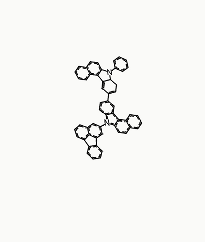 C1=C(c2ccc3c(c2)c2c4ccccc4ccc2n3-c2cc3c4c(cccc4c2)-c2ccccc2-3)C=C2c3c(ccc4ccccc34)N(c3ccccc3)C2C1